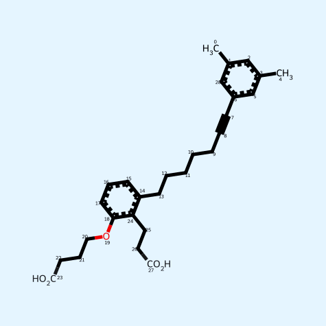 Cc1cc(C)cc(C#CCCCCCc2cccc(OCCCC(=O)O)c2CCC(=O)O)c1